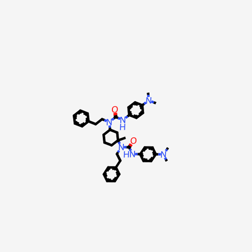 CN(C)c1ccc(NC(=O)N(CCc2ccccc2)C2CCCC(C)(N(CCc3ccccc3)C(=O)Nc3ccc(N(C)C)cc3)C2)cc1